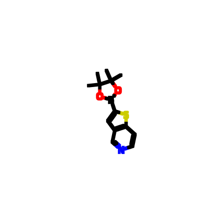 CC1(C)OB(c2cc3cnccc3s2)OC1(C)C